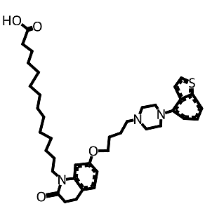 O=C(O)CCCCCCCCCCCCCN1C(=O)CCc2ccc(OCCCCN3CCN(c4cccc5sccc45)CC3)cc21